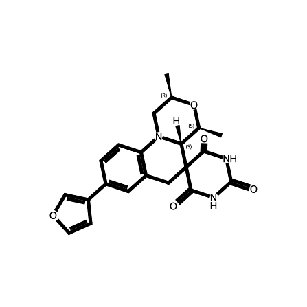 C[C@@H]1CN2c3ccc(-c4ccoc4)cc3CC3(C(=O)NC(=O)NC3=O)[C@H]2[C@H](C)O1